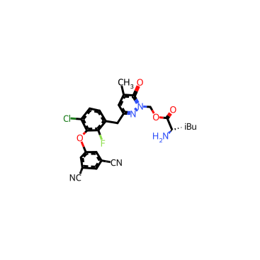 CC[C@@H](C)[C@@H](N)C(=O)OCn1nc(Cc2ccc(Cl)c(Oc3cc(C#N)cc(C#N)c3)c2F)cc(C)c1=O